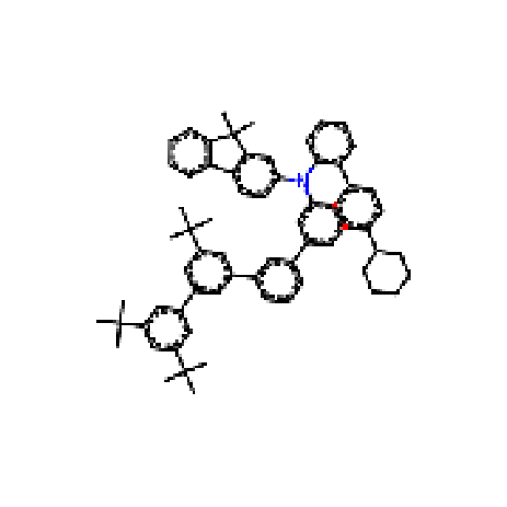 CC(C)(C)c1cc(-c2cccc(-c3cccc(N(c4ccc5c(c4)C(C)(C)c4ccccc4-5)c4ccccc4-c4ccc(C5CCCCC5)cc4)c3)c2)cc(-c2cc(C(C)(C)C)cc(C(C)(C)C)c2)c1